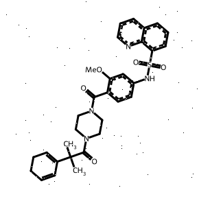 COc1cc(NS(=O)(=O)c2cccc3cccnc23)ccc1C(=O)N1CCN(C(=O)C(C)(C)C2=CCCC=C2)CC1